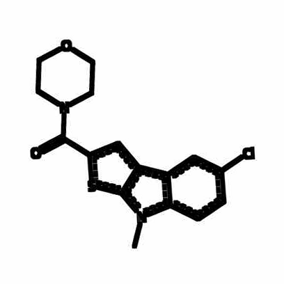 Cn1c2ccc(Cl)cc2c2cc(C(=O)N3CCOCC3)sc21